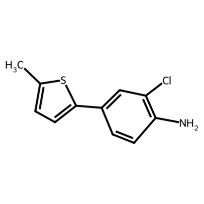 Cc1ccc(-c2ccc(N)c(Cl)c2)s1